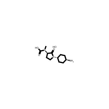 CN(C(=O)O)[C@@H]1CCN([C@H]2CC[C@H](N)CC2)C1=O.Cl